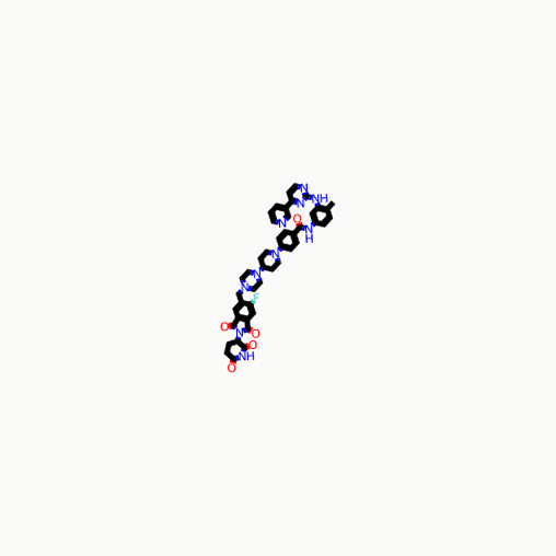 Cc1ccc(NC(=O)c2ccc(N3CCC(N4CCN(Cc5cc6c(cc5F)C(=O)N(C5CCC(=O)NC5=O)C6=O)CC4)CC3)cc2)cc1Nc1nccc(-c2cccnc2)n1